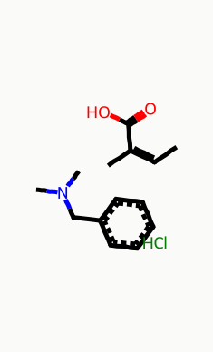 CC=C(C)C(=O)O.CN(C)Cc1ccccc1.Cl